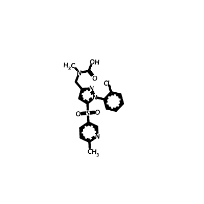 Cc1ccc(S(=O)(=O)c2cc(CN(C)C(=O)O)nn2-c2ccccc2Cl)cn1